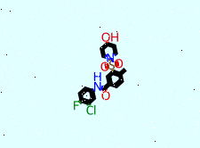 Cc1ccc(C(=O)Nc2ccc(F)c(Cl)c2)cc1S(=O)(=O)N1CCC(O)CC1